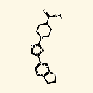 NC(=O)C1CCN(c2nc(-c3ccc4c(c3)OCC4)cs2)CC1